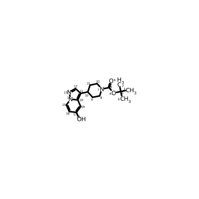 CC(C)(C)OC(=O)N1CCC(c2cnn3ccc(O)cc23)CC1